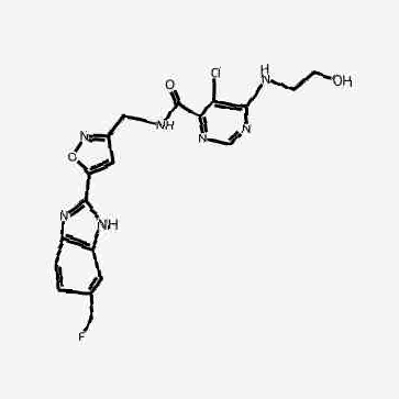 O=C(NCc1cc(-c2nc3ccc(CF)cc3[nH]2)on1)c1ncnc(NCCO)c1Cl